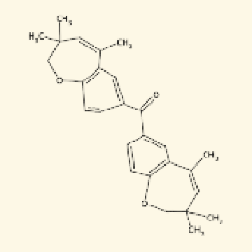 CC1=CC(C)(C)COc2ccc(C(=O)c3ccc4c(c3)C(C)=CC(C)(C)CO4)cc21